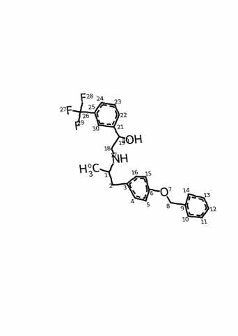 CC(Cc1ccc(OCc2ccccc2)cc1)NCC(O)c1cccc(C(F)(F)F)c1